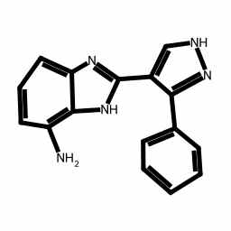 Nc1cccc2nc(-c3c[nH]nc3-c3ccccc3)[nH]c12